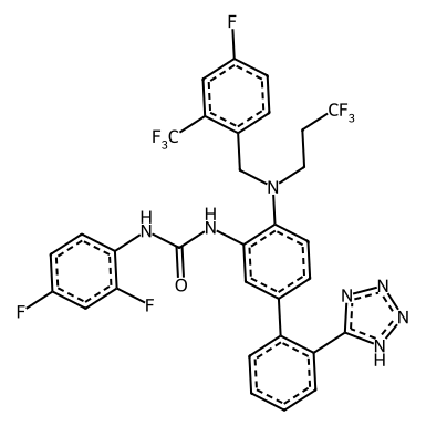 O=C(Nc1ccc(F)cc1F)Nc1cc(-c2ccccc2-c2nnn[nH]2)ccc1N(CCC(F)(F)F)Cc1ccc(F)cc1C(F)(F)F